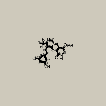 COc1n[nH]c(=O)cc1Cn1cnc(C(F)(F)I)c(CCc2cc(Cl)cc(C#N)c2)c1=O